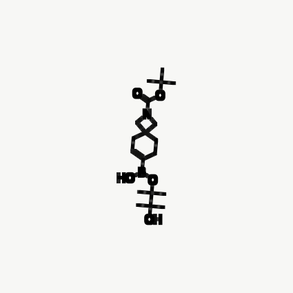 CC(C)(C)OC(=O)N1CC2(CC=C(B(O)OC(C)(C)C(C)(C)O)CC2)C1